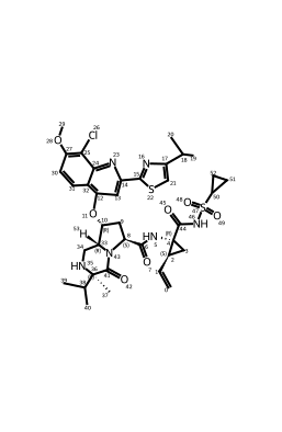 C=C[C@@H]1C[C@]1(NC(=O)[C@@H]1C[C@@H](Oc2cc(-c3nc(C(C)C)cs3)nc3c(Cl)c(OC)ccc23)[C@H]2CN[C@](C)(C(C)C)C(=O)N21)C(=O)NS(=O)(=O)C1CC1